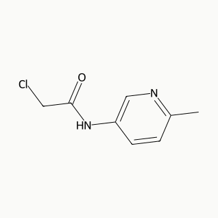 Cc1ccc(NC(=O)CCl)cn1